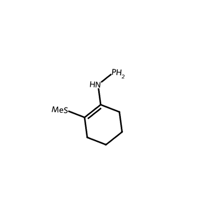 CSC1=C(NP)CCCC1